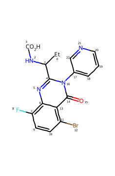 CCC(NC(=O)O)c1nc2c(F)ccc(Br)c2c(=O)n1-c1cccnc1